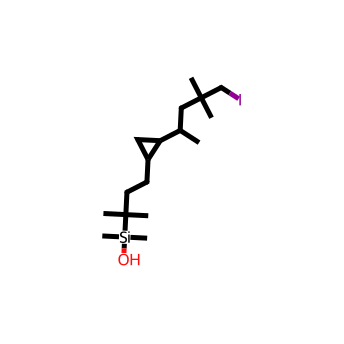 CC(CC(C)(C)CI)C1CC1CCC(C)(C)[Si](C)(C)O